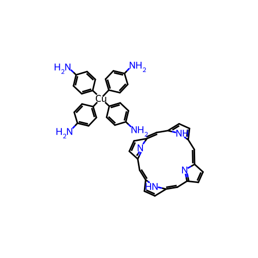 C1=Cc2cc3ccc(cc4nc(cc5ccc(cc1n2)[nH]5)C=C4)[nH]3.Nc1cc[c]([Cu]([c]2ccc(N)cc2)([c]2ccc(N)cc2)[c]2ccc(N)cc2)cc1